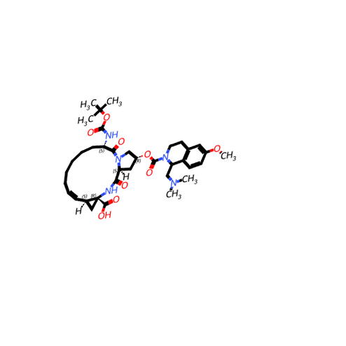 COc1ccc2c(c1)CCN(C(=O)O[C@@H]1C[C@H]3C(=O)N[C@]4(C(=O)O)C[C@H]4C=CCCCCC[C@H](NC(=O)OC(C)(C)C)C(=O)N3C1)C2CN(C)C